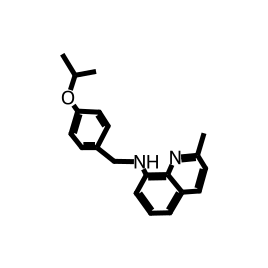 Cc1ccc2cccc(NCc3ccc(OC(C)C)cc3)c2n1